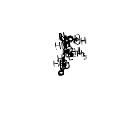 CC(C)(C)OC(=O)N(CCCCNC(=O)OCc1ccccc1)CCNc1nc2cc(C(=O)O)ccc2c2cnccc12